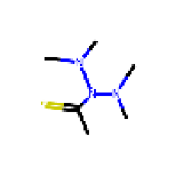 CC(=S)N(N(C)C)N(C)C